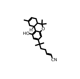 CC1=CCC2[C@@H](C1)c1c(O)cc(C(C)(C)CC/C=C/C#N)cc1OC2(C)C